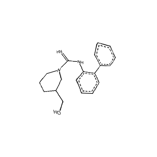 N=C(Nc1ccccc1-c1ccccc1)N1CCCC(CO)C1